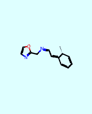 C[C@@H]1C=CC=C/C1=C/C=N\Cc1ncco1